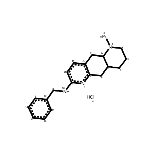 CCCN1CCCC2Cc3nc(NCc4ccccc4)ccc3CC21.Cl